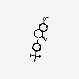 COc1ccc2c(c1)CCN(c1ccc(C(F)(F)F)cc1)C2=O